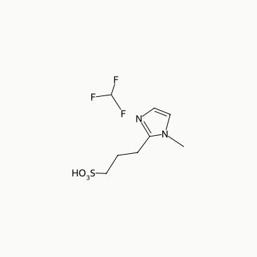 Cn1ccnc1CCCS(=O)(=O)O.FC(F)F